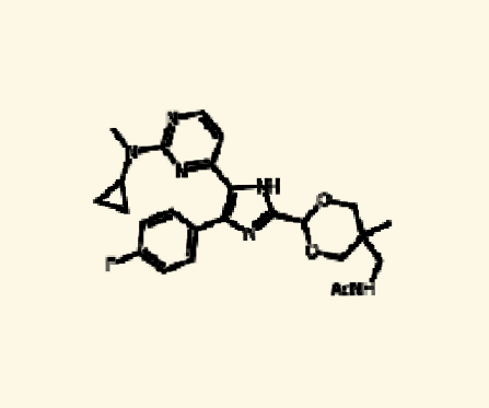 CC(=O)NCC1(C)COC(c2nc(-c3ccc(F)cc3)c(-c3ccnc(N(C)C4CC4)n3)[nH]2)OC1